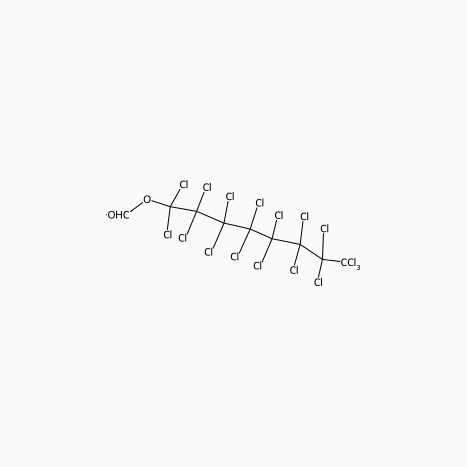 O=[C]OC(Cl)(Cl)C(Cl)(Cl)C(Cl)(Cl)C(Cl)(Cl)C(Cl)(Cl)C(Cl)(Cl)C(Cl)(Cl)C(Cl)(Cl)Cl